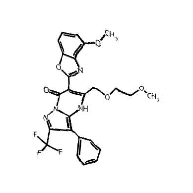 COCCOCc1[nH]c2c(-c3ccccc3)c(C(F)(F)F)nn2c(=O)c1-c1nc2c(OC)cccc2o1